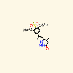 COc1cc(C(C)=CC2=NNC(=O)CC2C)cc(OC)c1S(C)(=O)=O